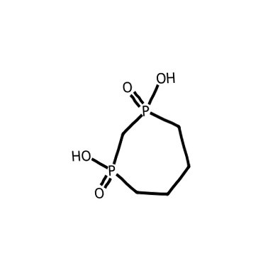 O=P1(O)CCCCP(=O)(O)C1